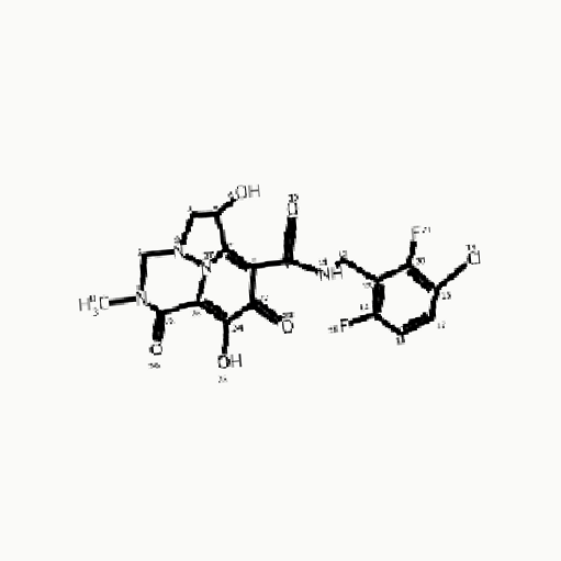 CN1CN2CC(O)c3c(C(=O)NCc4c(F)ccc(Cl)c4F)c(=O)c(O)c(n32)C1=O